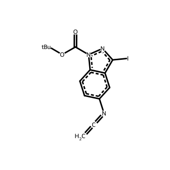 C=C=Nc1ccc2c(c1)c(I)nn2C(=O)OC(C)(C)C